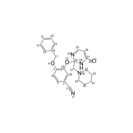 N#Cc1ccc(OCc2ccccc2)c(OC2(CN3CCCCC3)N=CC=C(Cl)N2)c1